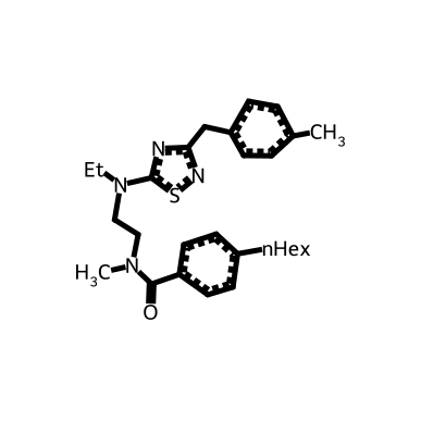 CCCCCCc1ccc(C(=O)N(C)CCN(CC)c2nc(Cc3ccc(C)cc3)ns2)cc1